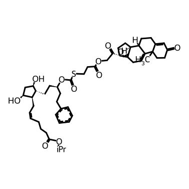 CC(C)OC(=O)CCC/C=C\C[C@@H]1[C@@H](CC[C@H](CCc2ccccc2)OC(=O)SCCC(=O)OCC(=O)[C@@]23CC[C@H]4[C@@H]5CCC6=CC(=O)CCC6(C)C5=CCC42CCO3)[C@H](O)C[C@@H]1O